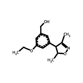 CCOc1cc(CO)cc(C2C(C)=NOC2C)c1